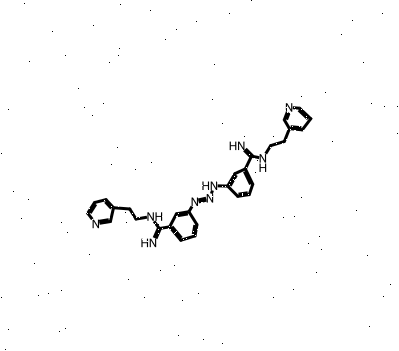 N=C(NCCc1cccnc1)c1cccc(/N=N/Nc2cccc(C(=N)NCCc3cccnc3)c2)c1